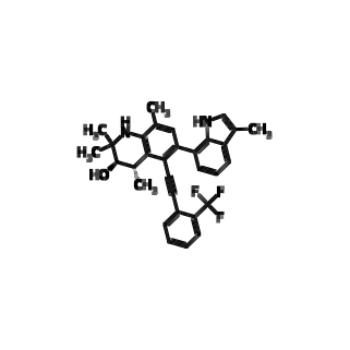 Cc1cc(-c2cccc3c(C)c[nH]c23)c(C#Cc2ccccc2C(F)(F)F)c2c1NC(C)(C)[C@H](O)[C@H]2C